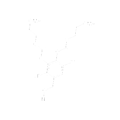 COCCOCOc1c(F)cc(CO[N])c(F)c1OCOCCOC